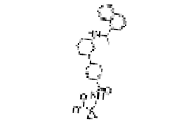 C[C@@H](NC1CCC[C@H](C2C=CC(C(=O)NCC3(C(=O)O)CC3)=CC2)C1)c1cccc2ccccc12